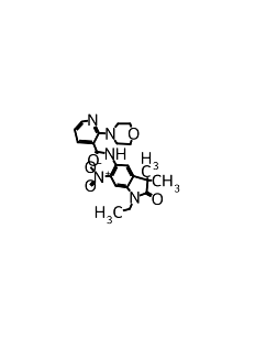 CCN1C(=O)C(C)(C)c2cc(NC(=O)c3cccnc3N3CCOCC3)c([N+](=O)[O-])cc21